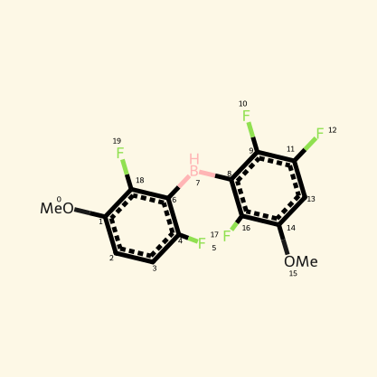 COc1ccc(F)c(Bc2c(F)c(F)cc(OC)c2F)c1F